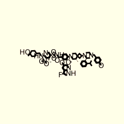 COc1ccc(CN2CCN(C3CC4(CCN(c5ccc(C(=O)NS(=O)(=O)c6cnc(NCC7CCC(C)(O)CC7)c([N+](=O)[O-])c6)c(Oc6cc7c(F)c[nH]c7nc6OC)c5)C[C@H]4C)C3)[C@H](c3ccccc3C(C)C)C2)cc1